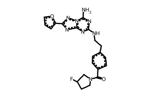 Nc1nc(NCCc2ccc(C(=O)N3CCC(F)C3)cc2)nc2nc(-c3ccco3)nn12